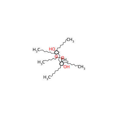 CCCCCCCCc1cc(CC(Cc2cc(CCCCCCCC)c(O)c(CCCCCCCC)c2)(C(C)=O)C(=O)CCCCCCC)cc(CCCCCCCC)c1O